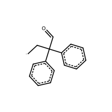 [CH2]CC(C=O)(c1ccccc1)c1ccccc1